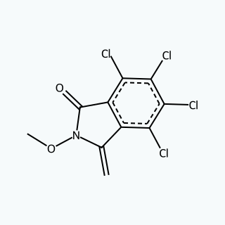 C=C1c2c(Cl)c(Cl)c(Cl)c(Cl)c2C(=O)N1OC